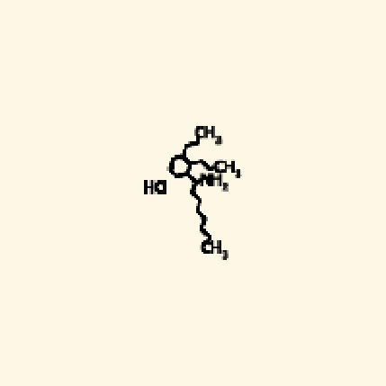 CCCCCCCC(N)c1cccc(CCC)c1CCC.Cl